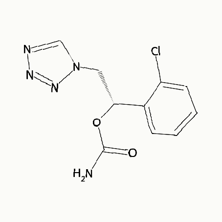 NC(=O)O[C@H](Cn1cnnn1)c1ccccc1Cl